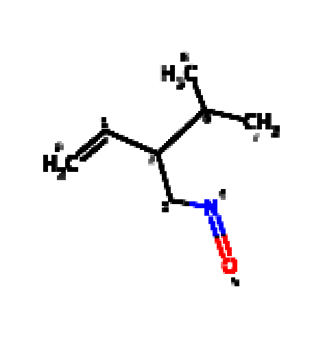 C=CC(CN=O)C(C)C